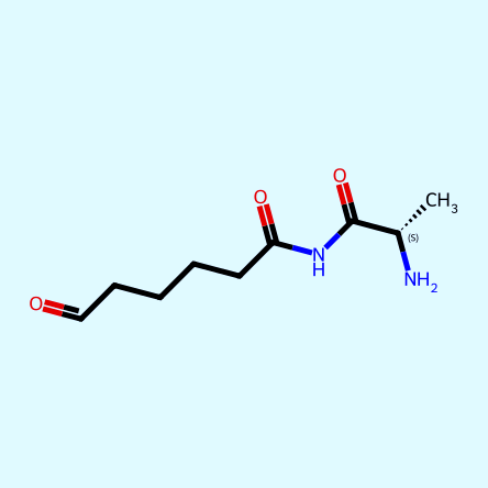 C[C@H](N)C(=O)NC(=O)CCCCC=O